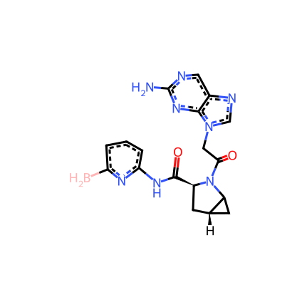 Bc1cccc(NC(=O)[C@@H]2C[C@H]3CC3N2C(=O)Cn2cnc3cnc(N)nc32)n1